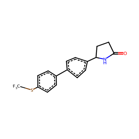 O=C1CCC(c2ccc(-c3ccc(SC(F)(F)F)cc3)cc2)N1